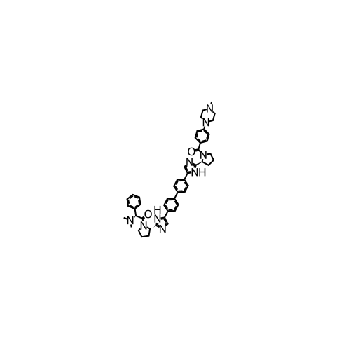 CN1CCN(c2ccc(C(=O)N3CCC[C@H]3c3ncc(-c4ccc(-c5ccc(-c6cnc([C@@H]7CCCN7C(=O)[C@@H](c7ccccc7)N(C)C)[nH]6)cc5)cc4)[nH]3)cc2)CC1